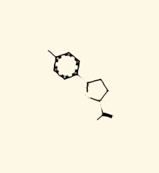 O=C(O)[C@@H]1CC[C@H](c2ccc(Br)cc2)N1